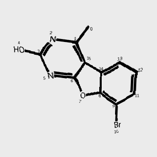 Cc1nc(O)nc2oc3c(Br)cccc3c12